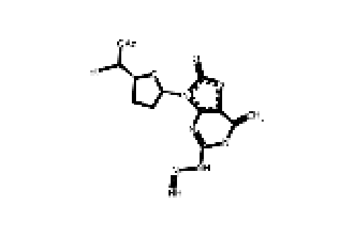 C=C1NC(NN=N)=Nc2c1sc(=O)n2[C@H]1CC[C@@H](C(CC)OC(C)=O)O1